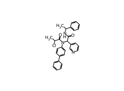 CC(Cl)C(=O)N(c1ccc(-c2ccccc2)cc1)C(C(=O)NC(C)c1ccccc1)c1cccnc1